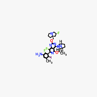 Cc1cc(N)c(F)c(-c2nc3c4c(nc(OC[C@@]56CCCN5C[C@H](F)C6)nc4c2F)N2C[C@H]4CC[C@H](N4)[C@H]2[C@H](C)O3)c1I